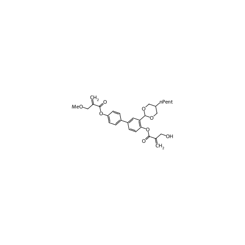 C=C(COC)C(=O)Oc1ccc(-c2ccc(OC(=O)C(=C)CO)c(C3OCC(CCCCC)CO3)c2)cc1